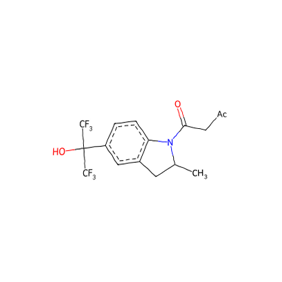 CC(=O)CC(=O)N1c2ccc(C(O)(C(F)(F)F)C(F)(F)F)cc2CC1C